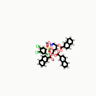 CON=CC(OC(=O)c1ccc2ccccc2c1)C(OC(=O)c1ccc2ccccc2c1)C(COC(=O)c1ccc2ccccc2c1)OS(=O)(=O)c1cc(Cl)c(Cl)cc1Cl